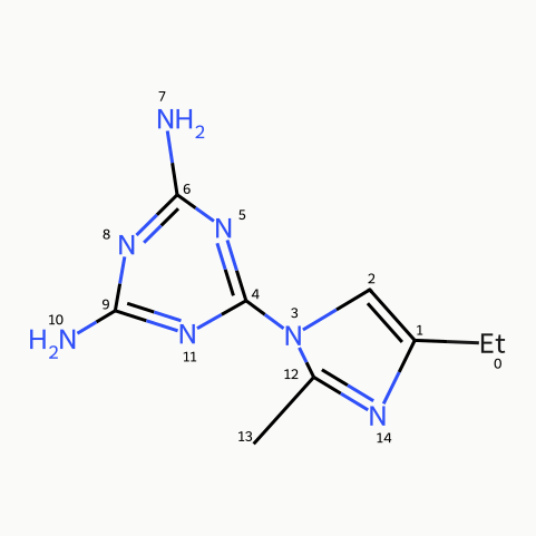 CCc1cn(-c2nc(N)nc(N)n2)c(C)n1